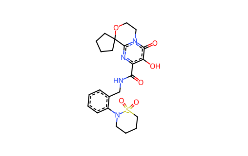 O=C(NCc1ccccc1N1CCCCS1(=O)=O)c1nc2n(c(=O)c1O)CCOC21CCCC1